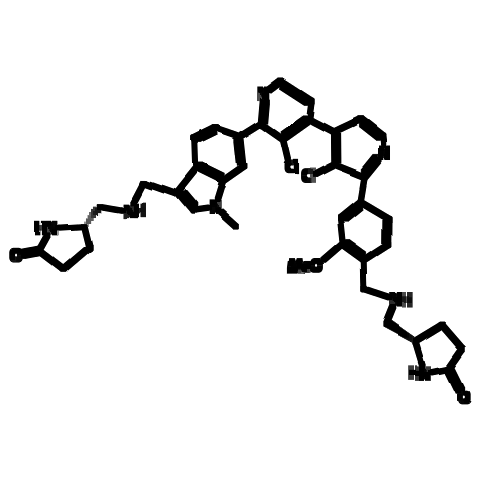 COc1cc(-c2nccc(-c3ccnc(-c4ccc5c(CNC[C@@H]6CCC(=O)N6)cn(C)c5c4)c3Cl)c2Cl)ccc1CNC[C@H]1CCC(=O)N1